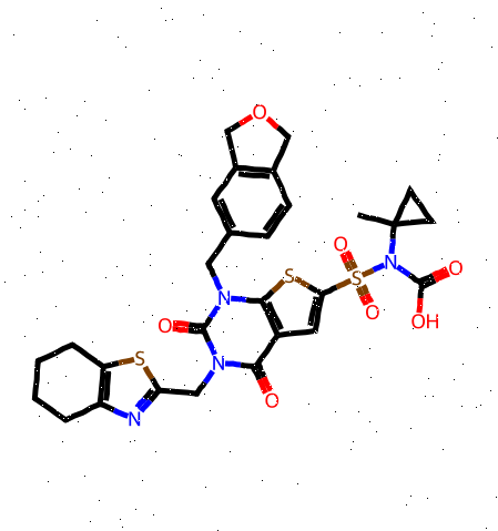 CC1(N(C(=O)O)S(=O)(=O)c2cc3c(=O)n(Cc4nc5c(s4)CCCC5)c(=O)n(Cc4ccc5c(c4)COC5)c3s2)CC1